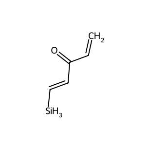 C=CC(=O)C=C[SiH3]